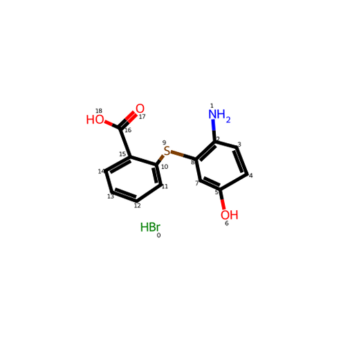 Br.Nc1ccc(O)cc1Sc1ccccc1C(=O)O